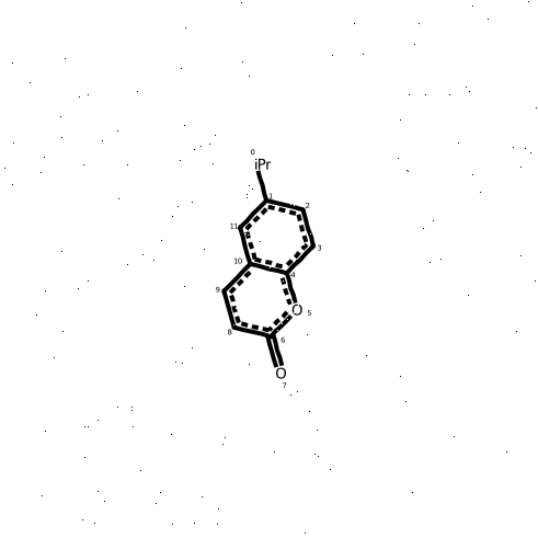 CC(C)c1ccc2oc(=O)ccc2c1